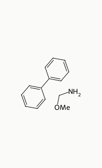 COCN.c1ccc(-c2ccccc2)cc1